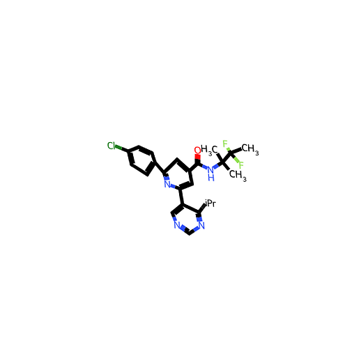 CC(C)c1ncncc1-c1cc(C(=O)NC(C)(C)C(C)(F)F)cc(-c2ccc(Cl)cc2)n1